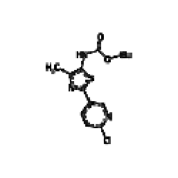 Cc1nc(-c2ccc(Cl)nc2)sc1NC(=O)OC(C)(C)C